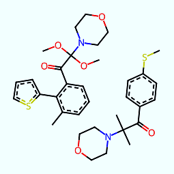 COC(OC)(C(=O)c1cccc(C)c1-c1cccs1)N1CCOCC1.CSc1ccc(C(=O)C(C)(C)N2CCOCC2)cc1